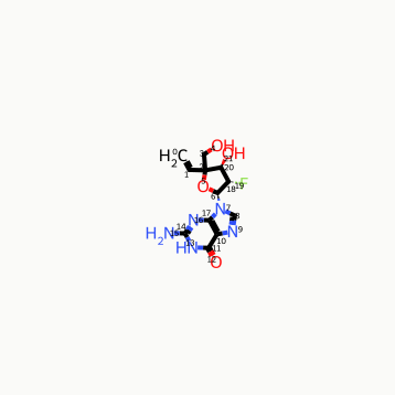 C=CC1(CO)O[C@@H](n2cnc3c(=O)[nH]c(N)nc32)[C@@H](F)[C@@H]1O